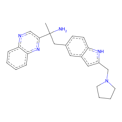 CC(N)(Cc1ccc2[nH]c(CN3CCCC3)cc2c1)c1cnc2ccccc2n1